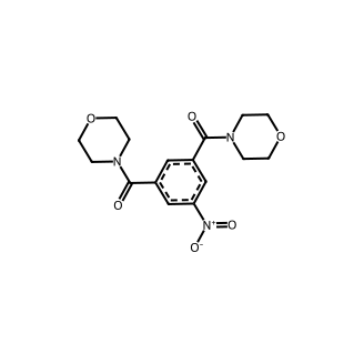 O=C(c1cc(C(=O)N2CCOCC2)cc([N+](=O)[O-])c1)N1CCOCC1